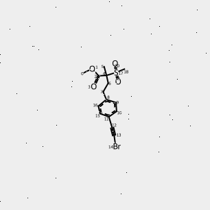 COC(=O)C(C)(CCc1ccc(C#CBr)cc1)S(C)(=O)=O